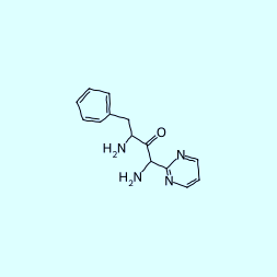 NC(Cc1ccccc1)C(=O)C(N)c1ncccn1